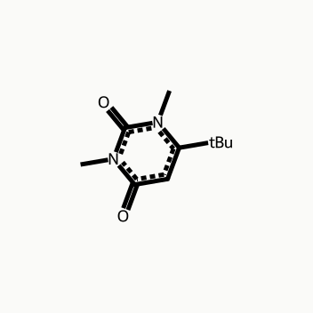 Cn1c(C(C)(C)C)cc(=O)n(C)c1=O